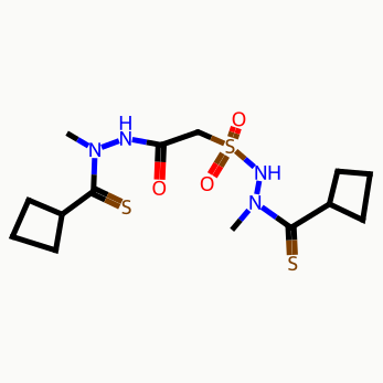 CN(NC(=O)CS(=O)(=O)NN(C)C(=S)C1CCC1)C(=S)C1CCC1